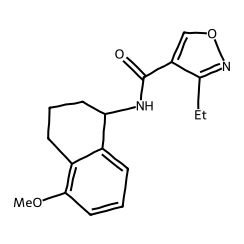 CCc1nocc1C(=O)NC1CCCc2c(OC)cccc21